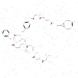 CC[C@H](C)[C@@H]([C@@H](CC(=O)N1CCC[C@H]1[C@H](OC)[C@@H](C)C(=O)N[C@@H](Cc1ccccc1)C(=O)NOCc1ccc(NC(=O)[C@@H](C)NC(=O)CCNC(=O)OCC2C3CC/C=C(/C)CCC32)cc1)OC)N(C)C(=O)[C@@H](NC(=O)[C@H](C(C)C)N(C)C)C(C)C